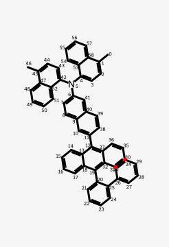 Cc1ccc(N(c2ccc3cc(-c4c5ccccc5c(-c5ccccc5-c5ccccc5)c5ccccc45)ccc3c2)c2ccc(C)c3ccccc23)c2ccccc12